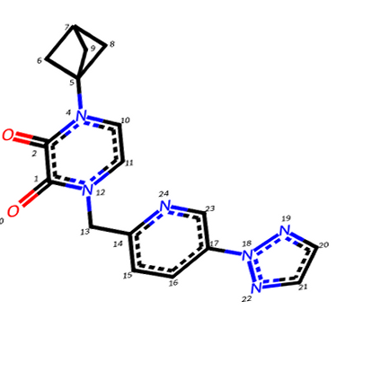 O=c1c(=O)n(C23CC(C2)C3)ccn1Cc1ccc(-n2nccn2)cn1